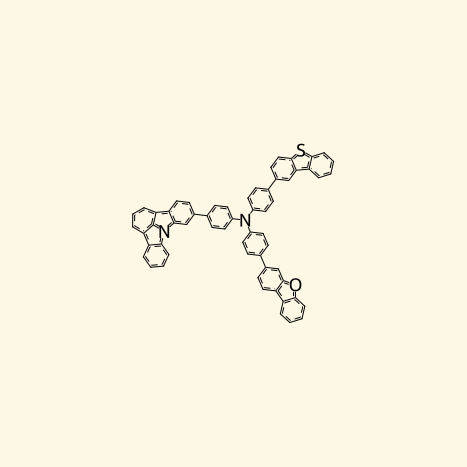 c1ccc2c(c1)oc1cc(-c3ccc(N(c4ccc(-c5ccc6sc7ccccc7c6c5)cc4)c4ccc(-c5ccc6c7cccc8c9ccccc9n(c6c5)c87)cc4)cc3)ccc12